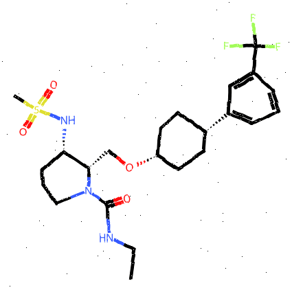 CCNC(=O)N1CCC[C@H](NS(C)(=O)=O)[C@@H]1CO[C@H]1CC[C@@H](c2cccc(C(F)(F)F)c2)CC1